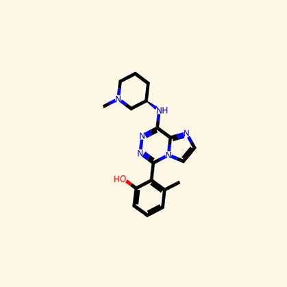 Cc1cccc(O)c1-c1nnc(N[C@@H]2CCCN(C)C2)c2nccn12